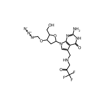 [N-]=[N+]=NCOC1CC(n2cc(CNCC(=O)C(F)(F)F)c3c(=O)[nH]c(N)nc32)OC1CO